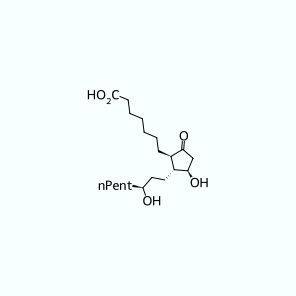 CCCCC[C@H](O)CC[C@H]1[C@H](O)CC(=O)[C@@H]1CCCCCCC(=O)O